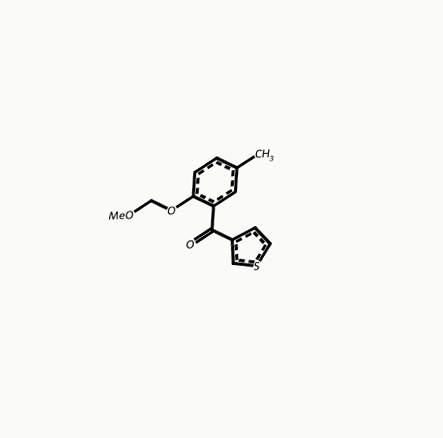 COCOc1ccc(C)cc1C(=O)c1ccsc1